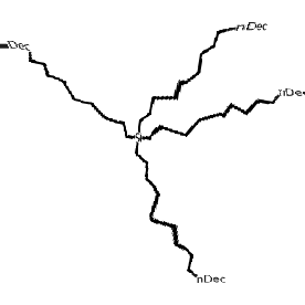 CCCCCCCCCCCCCCCCCCC[Si](CCCCCCCCCCCCCCCCCCC)(CCCCCCCCCCCCCCCCCCC)CCCCCCCCCCCCCCCCCCC